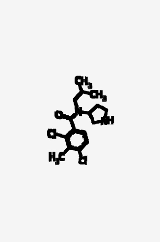 Cc1c(Cl)ccc(C(=O)N(CC(C)C)C2CCNC2)c1Cl